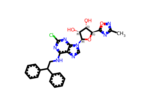 Cc1noc([C@H]2O[C@@H](n3cnc4c(NCC(c5ccccc5)c5ccccc5)nc(Cl)nc43)[C@H](O)[C@@H]2O)n1